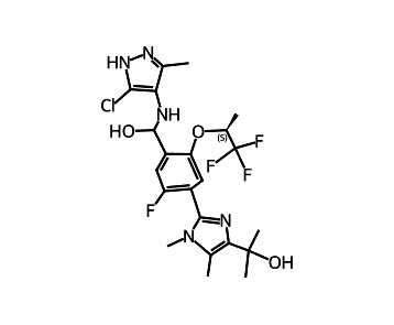 Cc1n[nH]c(Cl)c1NC(O)c1cc(F)c(-c2nc(C(C)(C)O)c(C)n2C)cc1O[C@@H](C)C(F)(F)F